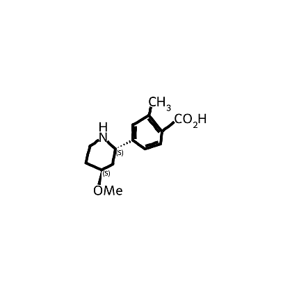 CO[C@H]1CCN[C@H](c2ccc(C(=O)O)c(C)c2)C1